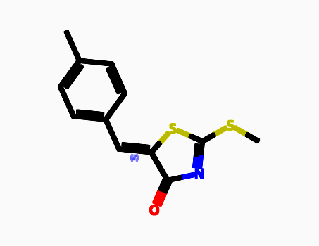 CSC1=NC(=O)/C(=C/c2ccc(C)cc2)S1